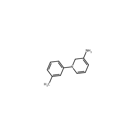 Cc1cccc(N2C=CC=C(N)C2)c1